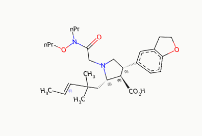 C/C=C/C(C)(C)C[C@H]1[C@H](C(=O)O)[C@@H](c2ccc3c(c2)CCO3)CN1CC(=O)N(CCC)OCCC